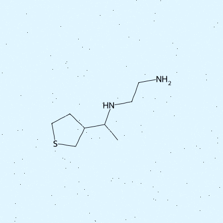 CC(NCCN)C1CCSC1